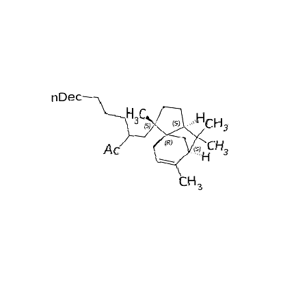 CCCCCCCCCCCCCC(C[C@]1(C)CC[C@H]2C(C)(C)[C@@H]3C[C@@]21CC=C3C)C(C)=O